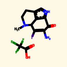 CN1CCc2c[nH]c3c2C1C(I)=C(N)C3=O.O=C(O)C(F)(F)F